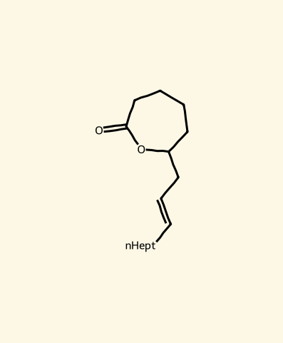 CCCCCCCC=CCC1CCCCC(=O)O1